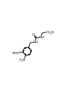 CCOC(=O)CNC(=O)NCc1ccc(N)c(OC)c1